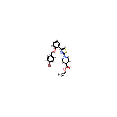 CCOC(=O)C1CCN(c2nc(-c3ccccc3OCc3ccc(Br)cc3)cs2)CC1